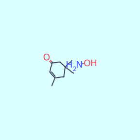 CC1=CC(=O)CC(C)(C)C1.NO